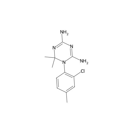 Cc1ccc(N2C(N)=NC(N)=NC2(C)C)c(Cl)c1